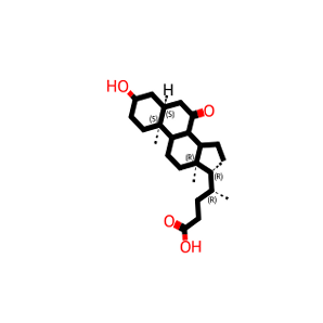 C[C@H](CCC(=O)O)[C@H]1CCC2C3C(=O)C[C@@H]4CC(O)CC[C@]4(C)C3CC[C@@]21C